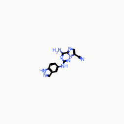 N#Cc1cnc2c(N)nc(Nc3ccc4[nH]ncc4c3)nn12